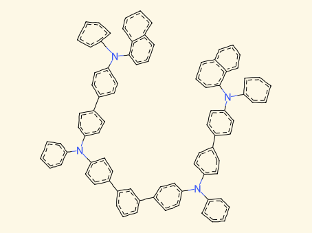 c1ccc(N(c2ccc(-c3ccc(N(c4ccccc4)c4cccc5ccccc45)cc3)cc2)c2ccc(-c3cccc(-c4ccc(N(c5ccccc5)c5ccc(-c6ccc(N(c7ccccc7)c7cccc8ccccc78)cc6)cc5)cc4)c3)cc2)cc1